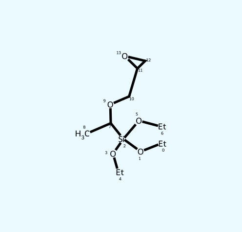 CCO[Si](OCC)(OCC)C(C)OCC1CO1